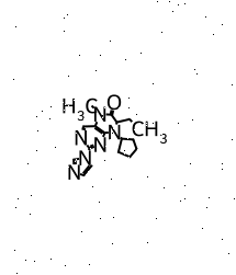 CCC1C(=O)N(C)c2cnc(-n3ccnc3)nc2N1C1CCCC1